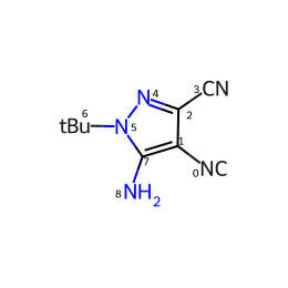 [C-]#[N+]c1c(C#N)nn(C(C)(C)C)c1N